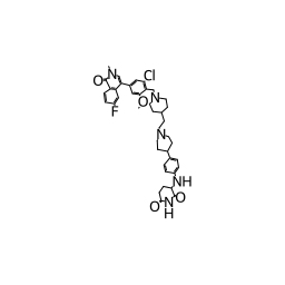 COc1cc(-c2cn(C)c(=O)c3ccc(F)cc23)cc(Cl)c1CN1CCC(CCN2CCC(c3ccc(NC4CCC(=O)NC4=O)cc3)CC2)CC1